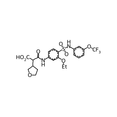 CCOc1cc(NC(=O)C(C(=O)O)C2CCOC2)ccc1S(=O)(=O)Nc1cccc(OC(F)(F)F)c1